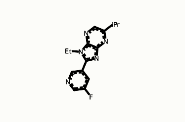 CCn1c(-c2cncc(F)c2)nc2nc(C(C)C)cnc21